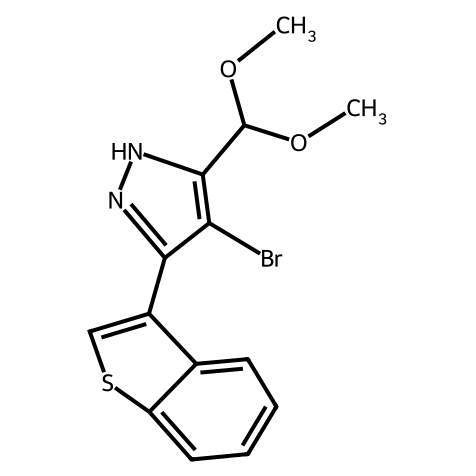 COC(OC)c1[nH]nc(-c2csc3ccccc23)c1Br